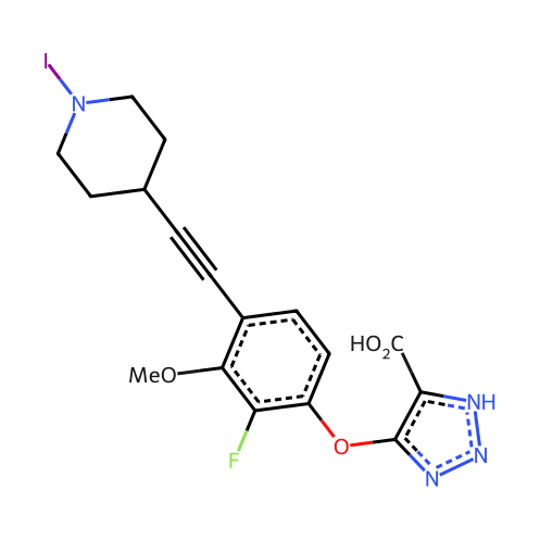 COc1c(C#CC2CCN(I)CC2)ccc(Oc2nn[nH]c2C(=O)O)c1F